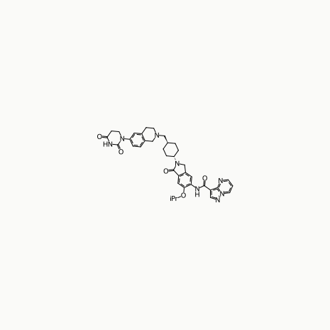 CC(C)Oc1cc2c(cc1NC(=O)c1cnn3cccnc13)CN([C@H]1CC[C@H](CN3CCc4cc(N5CCC(=O)NC5=O)ccc4C3)CC1)C2=O